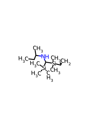 C=C[Si](C)(C)C(NC(C)CC)[Si](C)(C)C